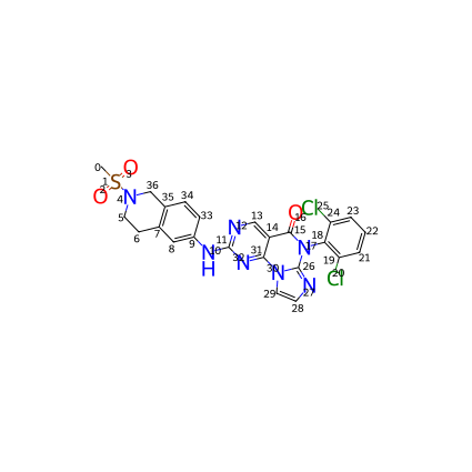 CS(=O)(=O)N1CCc2cc(Nc3ncc4c(=O)n(-c5c(Cl)cccc5Cl)c5nccn5c4n3)ccc2C1